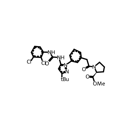 COC(=O)[C@@H]1CCCN1C(=O)Cc1cccc(-n2nc(C(C)(C)C)cc2NC(=O)Nc2cccc(Cl)c2Cl)c1